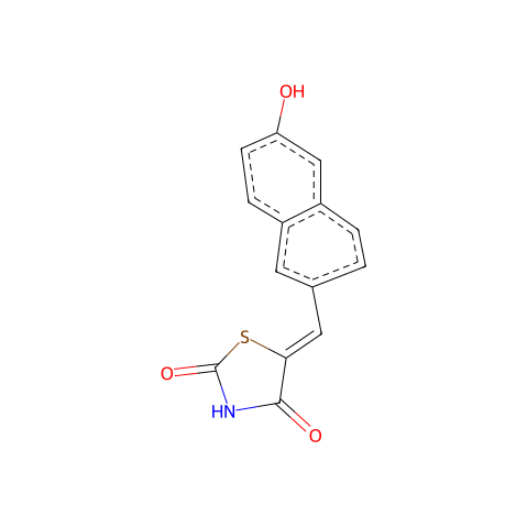 O=C1NC(=O)C(=Cc2ccc3cc(O)ccc3c2)S1